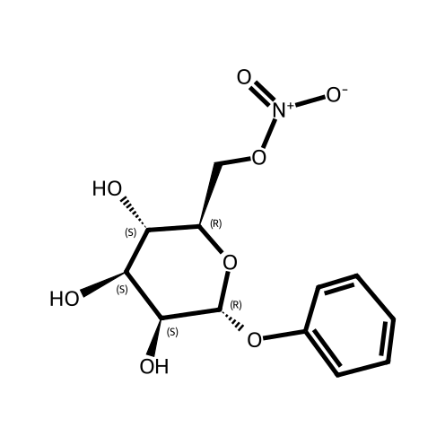 O=[N+]([O-])OC[C@H]1O[C@H](Oc2ccccc2)[C@@H](O)[C@@H](O)[C@@H]1O